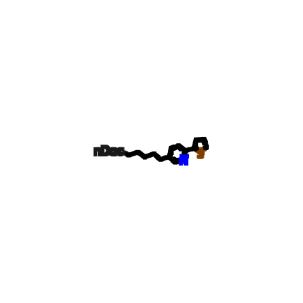 CCCCCCCCCCCCCCCc1ccc(-c2cccs2)nc1